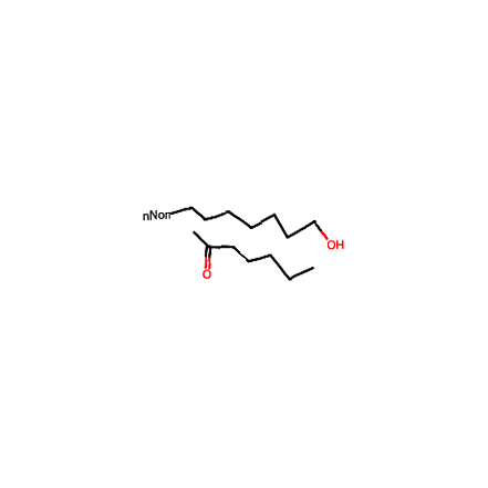 CCCCCC(C)=O.CCCCCCCCCCCCCCCCO